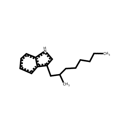 CCCCCCC(C)Cc1c[nH]c2ccccc12